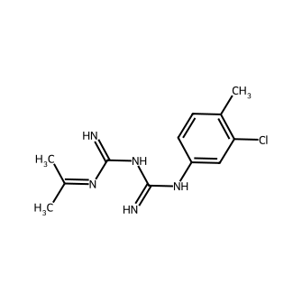 CC(C)=NC(=N)NC(=N)Nc1ccc(C)c(Cl)c1